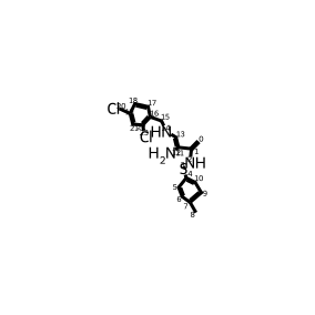 C=C(NSc1ccc(C)cc1)/C(N)=C/NCc1ccc(Cl)cc1Cl